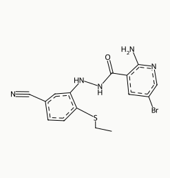 CCSc1ccc(C#N)cc1NNC(=O)c1cc(Br)cnc1N